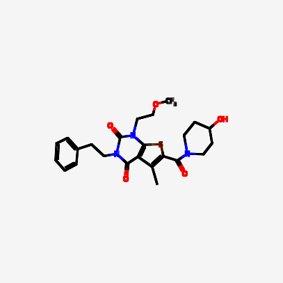 Cc1c(C(=O)N2CCC(O)CC2)sc2c1c(=O)n(CCc1ccccc1)c(=O)n2CCOC(F)(F)F